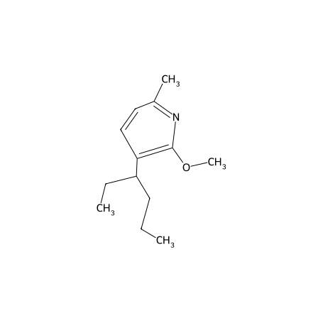 CCCC(CC)c1ccc(C)nc1OC